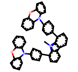 Cn1c2c(-c3ccc(N4c5ccccc5Oc5ccccc54)cc3)cccc2c2cccc(-c3ccc(N4c5ccccc5Oc5ccccc54)cc3)c21